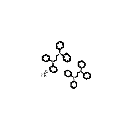 ClCl.[Co].c1ccc(P(CCP(c2ccccc2)c2ccccc2)c2ccccc2)cc1.c1ccc(P(CCP(c2ccccc2)c2ccccc2)c2ccccc2)cc1